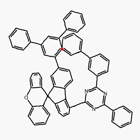 c1ccc(-c2cc(-c3ccccc3)cc(-c3ccc4c(c3)C3(c5ccccc5Oc5ccccc53)c3cccc(-c5nc(-c6ccccc6)nc(-c6cccc(-c7ccccc7)c6)n5)c3-4)c2)cc1